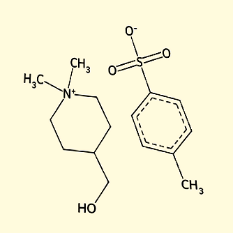 C[N+]1(C)CCC(CO)CC1.Cc1ccc(S(=O)(=O)[O-])cc1